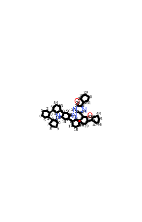 c1ccc2c(c1)-c1ccccc1-n1c3cc4c5ccccc5n(-c5nc6oc7ccccc7c6nc5-c5cccc6c5oc5ccccc56)c4cc3c3cccc-2c31